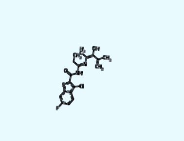 C=C(C)/C(O)=C(C)\N=C(/CC)NC(=O)c1sc2cc(F)ccc2c1Cl